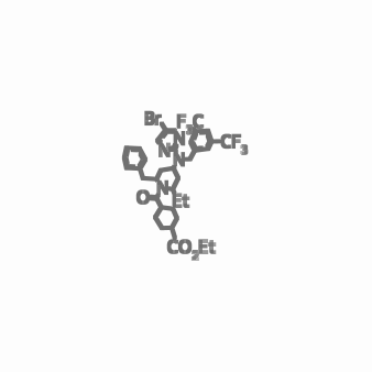 CCOC(=O)CC1CCC(C(=O)N2C(CC)CC(N(Cc3cc(C(F)(F)F)cc(C(F)(F)F)c3)c3ncc(Br)cn3)CC2Cc2ccccc2)CC1